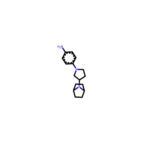 Nc1ccc(N2CCC(N3C4CCC3CC4)C2)cc1